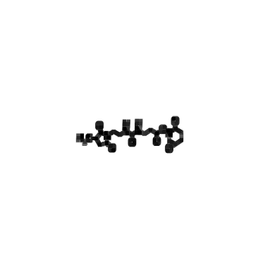 CC1CC(=O)N(CCNC(=O)NCCC(=O)ON2C(=O)CCC3OC32)C1=O